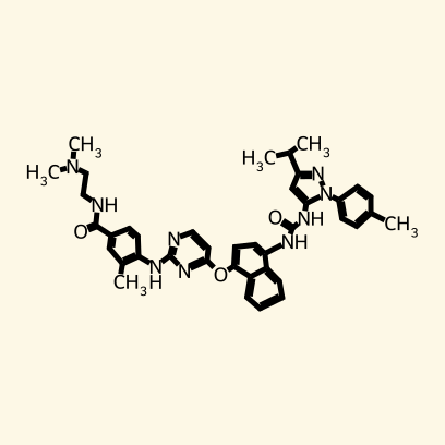 Cc1ccc(-n2nc(C(C)C)cc2NC(=O)Nc2ccc(Oc3ccnc(Nc4ccc(C(=O)NCCN(C)C)cc4C)n3)c3ccccc23)cc1